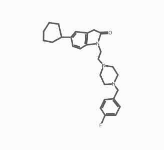 O=C1Cc2cc(C3CCCCC3)ccc2N1CCN1CCN(Cc2ccc(F)cc2)CC1